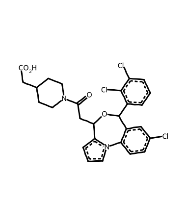 O=C(O)CC1CCN(C(=O)CC2OC(c3cccc(Cl)c3Cl)c3cc(Cl)ccc3-n3cccc32)CC1